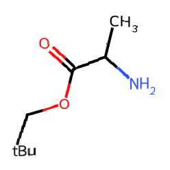 CC(N)C(=O)OCC(C)(C)C